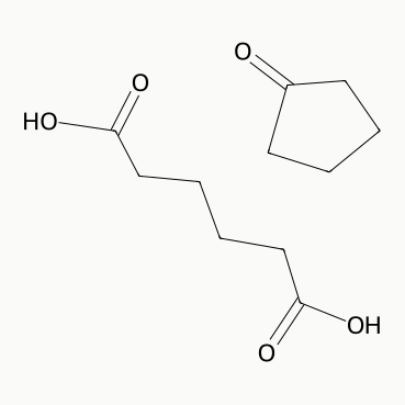 O=C(O)CCCCC(=O)O.O=C1CCCC1